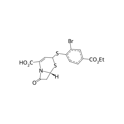 CCOC(=O)c1ccc(SC2C=C(C(=O)O)N3C(=O)C[C@H]3S2)c(Br)c1